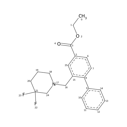 CCOC(=O)c1ccc(-c2ccccc2)c(CN2CCCC(F)(F)C2)c1